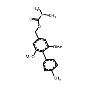 [CH2]c1ccc(-c2c(OC)cc(COC(=O)N(C)C)cc2OC)cc1